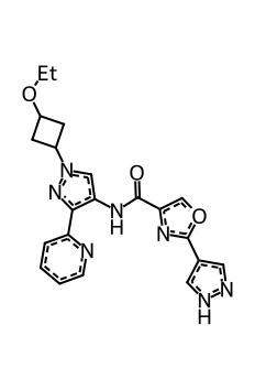 CCOC1CC(n2cc(NC(=O)c3coc(-c4cn[nH]c4)n3)c(-c3ccccn3)n2)C1